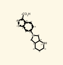 O=C(O)c1nsc2cc(N3CC4CCCNC4C3)ccc12